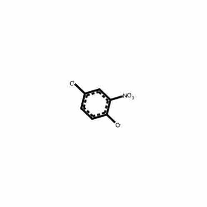 [O]c1ccc(Cl)cc1[N+](=O)[O-]